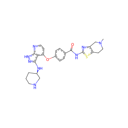 CN1CCc2sc(NC(=O)c3ccc(Oc4ccnc5[nH]nc(N[C@@H]6CCCNC6)c45)cc3)nc2C1